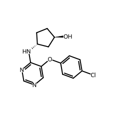 O[C@@H]1CC[C@@H](Nc2ncncc2Oc2ccc(Cl)cc2)C1